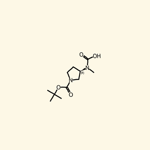 CN(C(=O)O)[C@@H]1CCN(C(=O)OC(C)(C)C)C1